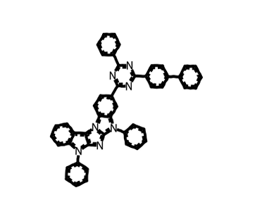 c1ccc(-c2ccc(-c3nc(-c4ccccc4)nc(-c4ccc5c(c4)n(-c4ccccc4)c4nc6c(c7ccccc7n6-c6ccccc6)n54)n3)cc2)cc1